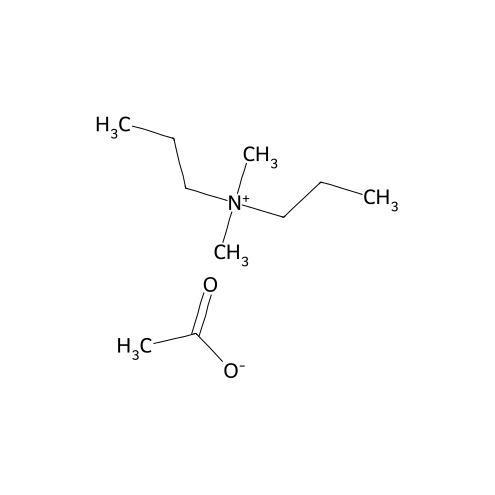 CC(=O)[O-].CCC[N+](C)(C)CCC